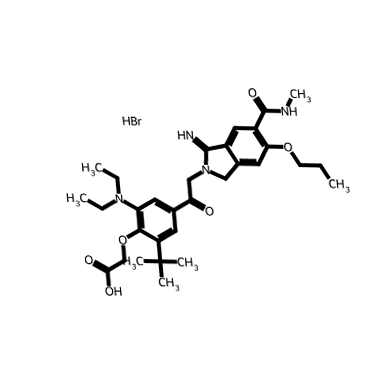 Br.CCCOc1cc2c(cc1C(=O)NC)C(=N)N(CC(=O)c1cc(N(CC)CC)c(OCC(=O)O)c(C(C)(C)C)c1)C2